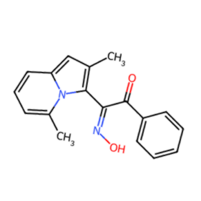 Cc1cc2cccc(C)n2c1C(=NO)C(=O)c1ccccc1